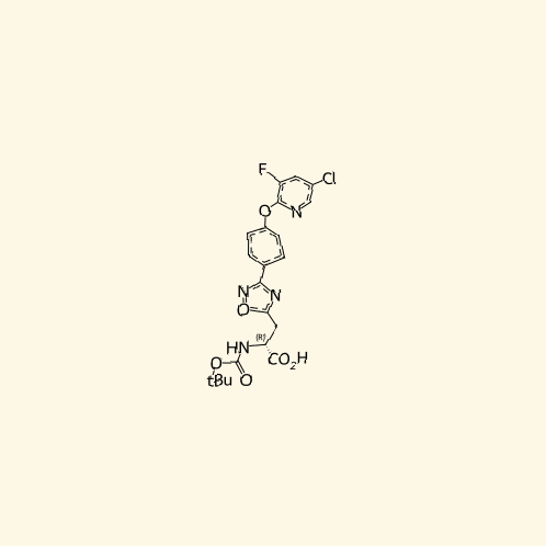 CC(C)(C)OC(=O)N[C@H](Cc1nc(-c2ccc(Oc3ncc(Cl)cc3F)cc2)no1)C(=O)O